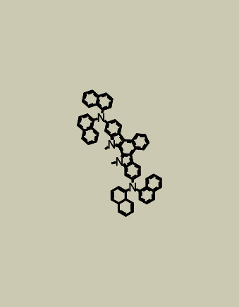 Cn1c2cc(N(C3=CC=CC4C=CC=CC34)c3cccc4ccccc34)ccc2c2c3ccccc3c3c4ccc(N(c5cccc6ccccc56)c5cccc6ccccc56)cc4n(C)c3c21